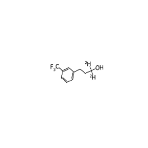 [2H]C([2H])(O)CCc1cccc(C(F)(F)F)c1